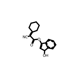 N#CC(C(=O)OC1=CC(O)c2ccccc21)=C1CCCCC1